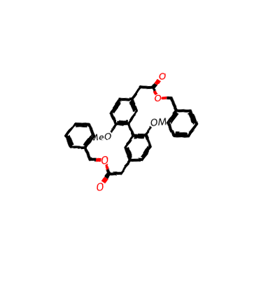 COc1ccc(CC(=O)OCc2ccccc2)cc1-c1cc(CC(=O)OCc2ccccc2)ccc1OC